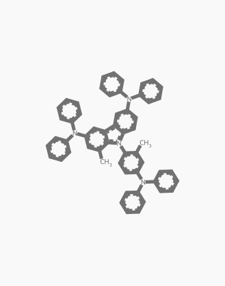 Cc1cc(N(c2ccccc2)c2ccccc2)ccc1-n1c2ccc(N(c3ccccc3)c3ccccc3)cc2c2cc(N(c3ccccc3)c3ccccc3)cc(C)c21